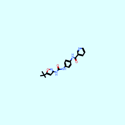 CC(C)(C)c1cc(NC(=O)Nc2ccc(NC(=O)c3cccnc3)cc2)no1